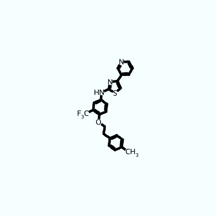 Cc1ccc(CCOc2ccc(Nc3nc(-c4cccnc4)cs3)cc2C(F)(F)F)cc1